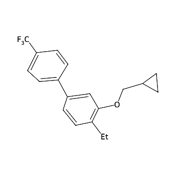 CCc1ccc(-c2ccc(C(F)(F)F)cc2)cc1OCC1CC1